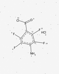 Cl.Nc1c(F)c(F)c(C(=O)Cl)c(F)c1F